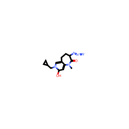 CN1C(=O)C(N=[N+]=[N-])CCC2=CN(CC3CC3)C(O)C=C21